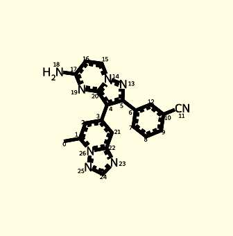 Cc1cc(-c2c(-c3cccc(C#N)c3)nn3ccc(N)nc23)cc2ncnn12